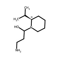 CC(C)[C@H]1CCCCN1C(O)CCN